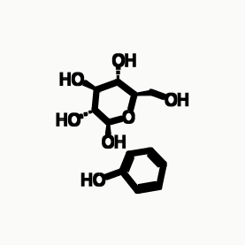 OC[C@H]1O[C@@H](O)[C@H](O)[C@@H](O)[C@@H]1O.Oc1ccccc1